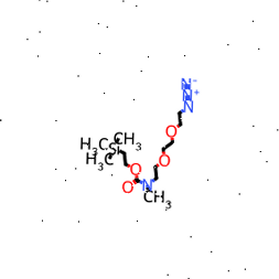 CN(CCOCCOCCN=[N+]=[N-])C(=O)OCC[Si](C)(C)C